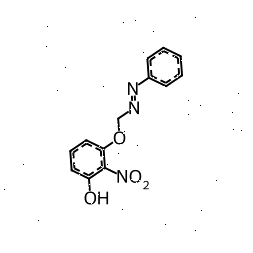 O=[N+]([O-])c1c(O)cccc1OCN=Nc1ccccc1